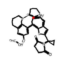 O=C1CCC(=O)N1C1(c2cc3cccc(-c4cc(Cl)cc5c4N([C@H]4CCNC4)CCC5)c3s2)CC1.O=CO